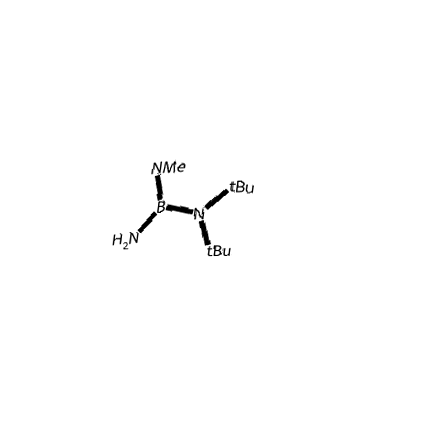 CNB(N)N(C(C)(C)C)C(C)(C)C